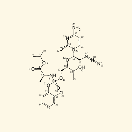 CC(C)OC(=O)[C@H](C)NP(=O)(OC[C@@H](O[C@H](CN=[N+]=[N-])n1ccc(N)nc1=O)C(C)O)Oc1ccccc1Cl